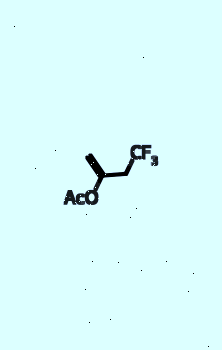 C=C(CC(F)(F)F)OC(C)=O